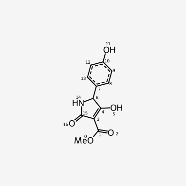 COC(=O)C1=C(O)C(c2ccc(O)cc2)NC1=O